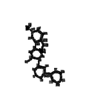 Cc1cc2[n+](cc1-c1cccc(-c3ccccc3)c1)Cc1ccc(Br)cc1-2